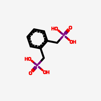 O=P(O)(O)Cc1ccccc1CP(=O)(O)O